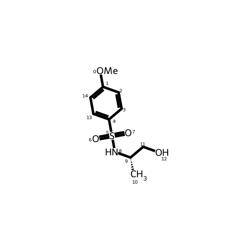 COc1ccc(S(=O)(=O)N[C@@H](C)CO)cc1